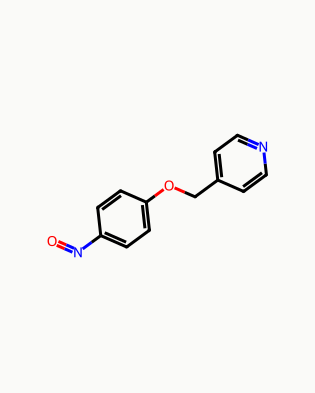 O=Nc1ccc(OCc2ccncc2)cc1